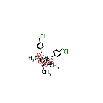 CCC[Si](C)(O[Si](C)(C)OCc1ccc(CCl)cc1)O[Si](C)(C)OCc1ccc(CCl)cc1